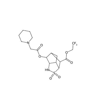 O=C(CN1CCCCC1)OC1C2CC3C1NS(=O)(=O)C3C2C(=O)OCC(F)(F)F